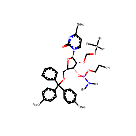 COc1ccc(C(OC[C@H]2O[C@@H](n3ccc(NC(C)=O)nc3=O)[C@H](OCO[Si](C(C)C)(C(C)C)C(C)C)[C@@H]2OP(OCCC#N)N(C(C)C)C(C)C)(c2ccccc2)c2ccc(OC)cc2)cc1